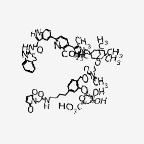 Cc1c(-c2ccc(-c3ccc4[nH]cc(C(=O)Nc5nc6ccccc6s5)c4c3)nc2C(=O)O)cnn1CC1(C)CC2(C)CC(C)(C)CC(OCCN(C)C(=O)OCc3ccc(CCCCNC(=O)CN4C(=O)C=CC4=O)cc3O[C@@H]3O[C@H](C(=O)O)C[C@H](O)[C@H]3O)(C1)C2